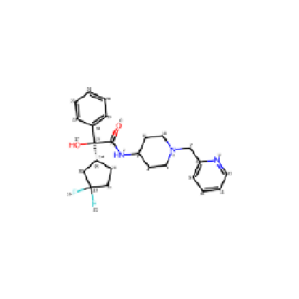 O=C(NC1CCN(Cc2ccccn2)CC1)C(O)(c1ccccc1)[C@@H]1CCC(F)(F)C1